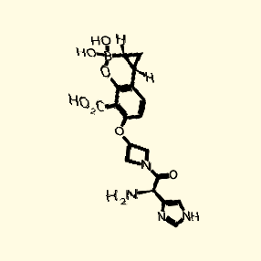 N[C@@H](C(=O)N1CC(Oc2ccc3c(c2C(=O)O)O[B-](O)(O)[C@@H]2C[C@H]32)C1)c1c[nH]cn1